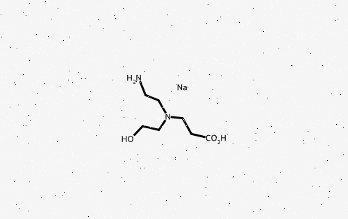 NCCN(CCO)CCC(=O)O.[Na]